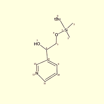 CC(C)(C)[Si](C)(C)OCC(O)c1cccnc1